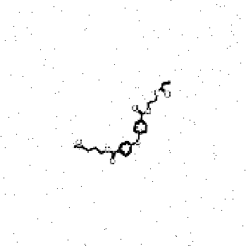 C=CC(=O)OCCOC(=O)c1ccc(Sc2ccc(C(=O)OCCCC3CO3)cc2)cc1